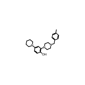 Cc1ccc(CN2CCN(c3cc(N4CCCCC4)ccc3O)CC2)cc1